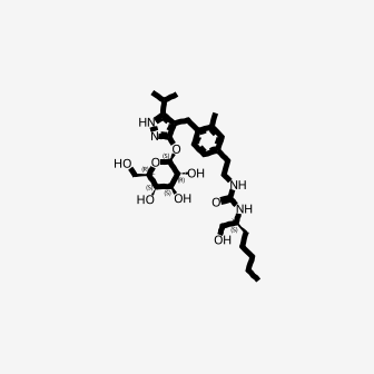 CCCCC[C@@H](CO)NC(=O)NCCc1ccc(Cc2c(O[C@@H]3O[C@H](CO)[C@@H](O)[C@H](O)[C@H]3O)n[nH]c2C(C)C)c(C)c1